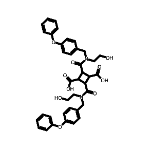 O=C(O)C1C(C(=O)N(CCO)Cc2ccc(Oc3ccccc3)cc2)C(C(=O)O)C1C(=O)N(CCO)Cc1ccc(Oc2ccccc2)cc1